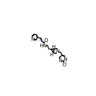 O=C(/C=C/c1cccnc1)NCC[C@H]1[C@H]2CN(Cc3cnc(Cl)nc3)C[C@@H]12